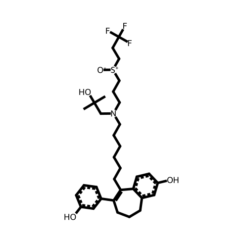 CC(C)(O)CN(CCCCCCC1=C(c2cccc(O)c2)CCCc2cc(O)ccc21)CCC[S+]([O-])CCC(F)(F)F